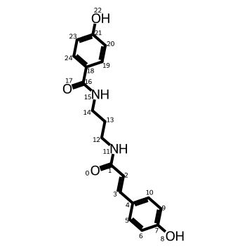 O=C(/C=C/c1ccc(O)cc1)NCCCNC(=O)c1ccc(O)cc1